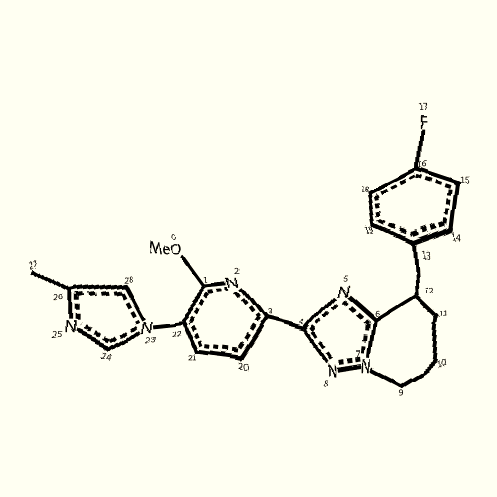 COc1nc(-c2nc3n(n2)CCCC3c2ccc(F)cc2)ccc1-n1cnc(C)c1